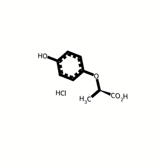 C[C@@H](Oc1ccc(O)cc1)C(=O)O.Cl